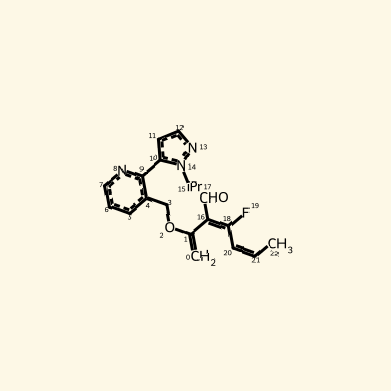 C=C(OCc1cccnc1-c1ccnn1C(C)C)/C(C=O)=C(F)\C=C/C